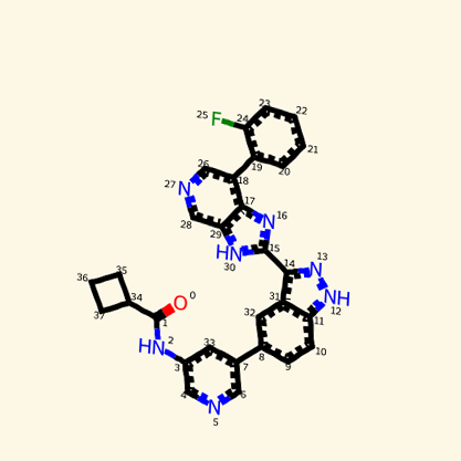 O=C(Nc1cncc(-c2ccc3[nH]nc(-c4nc5c(-c6ccccc6F)cncc5[nH]4)c3c2)c1)C1CCC1